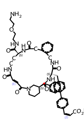 NCCOCCNC(=O)[C@@H]1CCNC(=O)/C=C/C(=O)N2CCC[C@](Cc3ccccc3)(C2)C(=O)N[C@@H](Cc2ccc(-c3ccc(/C=C\C(=O)O)cc3)cc2)C(=O)NCc2ccccc2CC(=O)N1